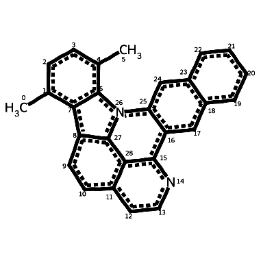 Cc1ccc(C)c2c1c1ccc3ccnc4c5cc6ccccc6cc5n2c1c34